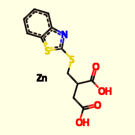 O=C(O)CC(CSc1nc2ccccc2s1)C(=O)O.[Zn]